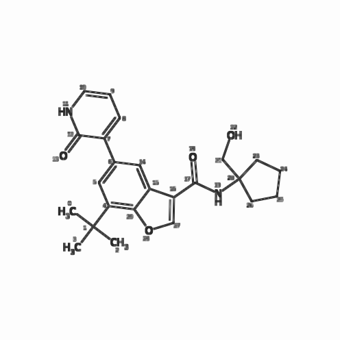 CC(C)(C)c1cc(-c2ccc[nH]c2=O)cc2c(C(=O)NC3(CO)CCCC3)coc12